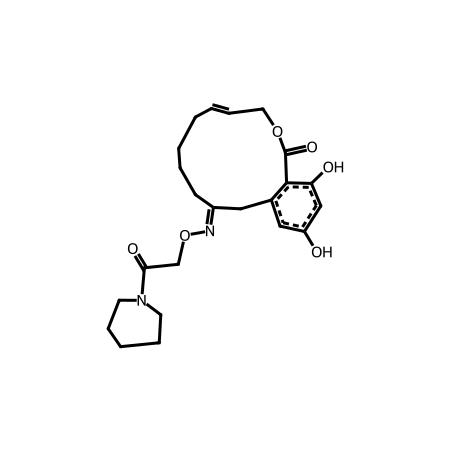 O=C1OC/C=C/CCCC/C(=N\OCC(=O)N2CCCCC2)Cc2cc(O)cc(O)c21